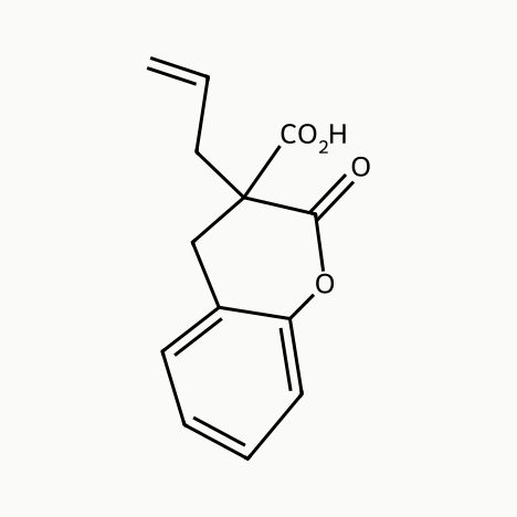 C=CCC1(C(=O)O)Cc2ccccc2OC1=O